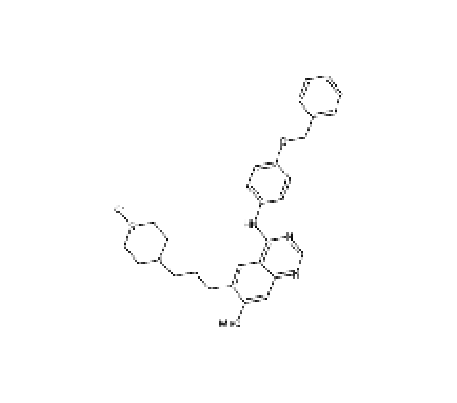 COc1cc2ncnc(Nc3ccc(OCc4ccccc4)cc3)c2cc1CCCN1CC[S+]([O-])CC1